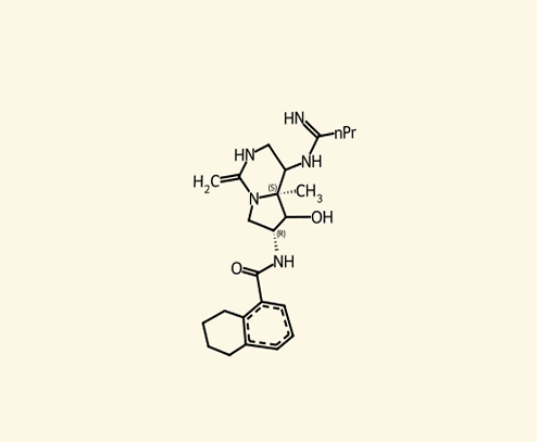 C=C1NCC(NC(=N)CCC)[C@@]2(C)C(O)[C@H](NC(=O)c3cccc4c3CCCC4)CN12